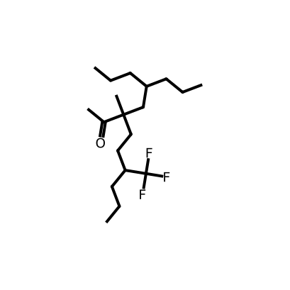 CCCC(CCC)CC(C)(CCC(CCC)C(F)(F)F)C(C)=O